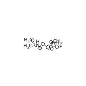 CCC(CCOC)CNC(=O)c1cccc(-c2ccc3oc(-c4ccc(F)cc4)c(C(=O)NC)c3c2)c1